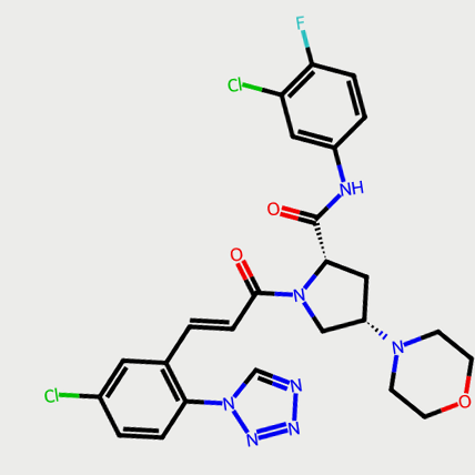 O=C(Nc1ccc(F)c(Cl)c1)[C@@H]1C[C@H](N2CCOCC2)CN1C(=O)/C=C/c1cc(Cl)ccc1-n1cnnn1